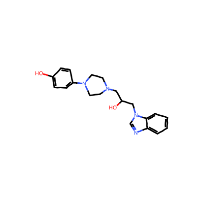 Oc1ccc(N2CCN(CC(O)Cn3cnc4ccccc43)CC2)cc1